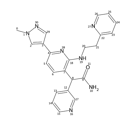 Cn1cc(-c2ccc(C(C(N)=O)c3cccnc3)c(NCCc3ccccn3)n2)cn1